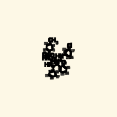 Cc1ccc(S(=O)(=O)NC(=O)NC(c2ccccc2)C(NC(=O)Nc2cccc(Cl)c2)c2ccccc2)cc1